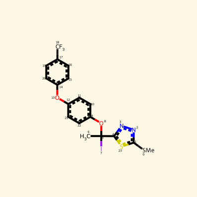 CSc1nnc(C(C)(I)Oc2ccc(Oc3ccc(C(F)(F)F)cc3)cc2)s1